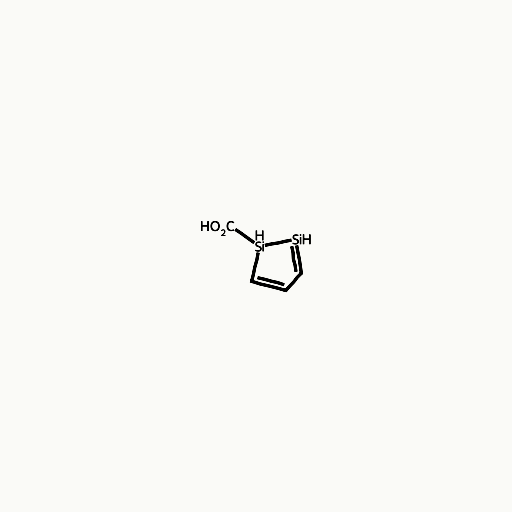 O=C(O)[SiH]1C=CC=[SiH]1